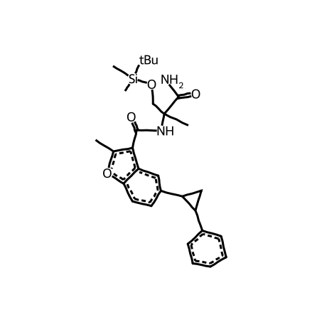 Cc1oc2ccc(C3CC3c3ccccc3)cc2c1C(=O)NC(C)(CO[Si](C)(C)C(C)(C)C)C(N)=O